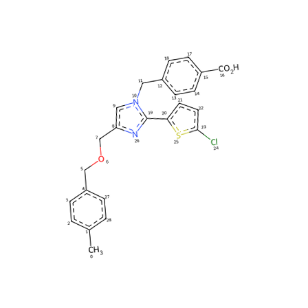 Cc1ccc(COCc2cn(Cc3ccc(C(=O)O)cc3)c(-c3ccc(Cl)s3)n2)cc1